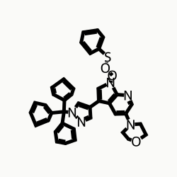 c1ccc(SOOn2cc(-c3cnn(C(c4ccccc4)(c4ccccc4)c4ccccc4)c3)c3cc(N4CCOCC4)cnc32)cc1